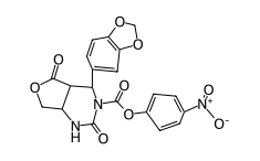 O=C1OCC2NC(=O)N(C(=O)Oc3ccc([N+](=O)[O-])cc3)C(c3ccc4c(c3)OCO4)C12